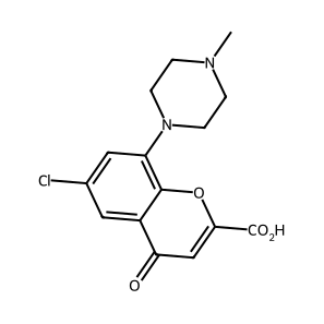 CN1CCN(c2cc(Cl)cc3c(=O)cc(C(=O)O)oc23)CC1